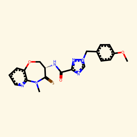 COc1ccc(Cn2cnc(C(=O)N[C@H]3COc4cccnc4N(C)C3=S)n2)cc1